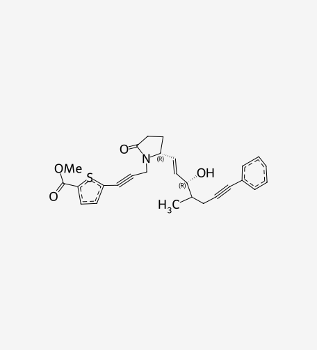 COC(=O)c1ccc(C#CCN2C(=O)CC[C@@H]2C=C[C@H](O)C(C)CC#Cc2ccccc2)s1